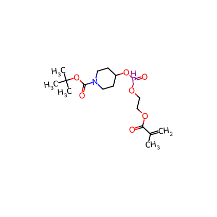 C=C(C)C(=O)OCCO[PH](=O)OC1CCN(C(=O)OC(C)(C)C)CC1